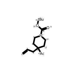 C=CCC1(C(C)=O)CCN(C(=O)OC(C)(C)C)CC1